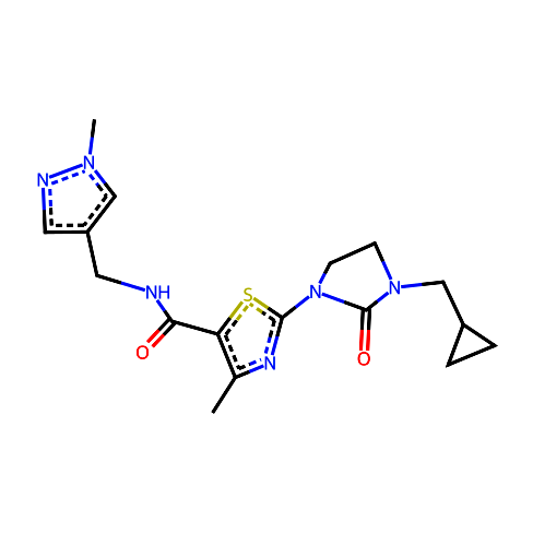 Cc1nc(N2CCN(CC3CC3)C2=O)sc1C(=O)NCc1cnn(C)c1